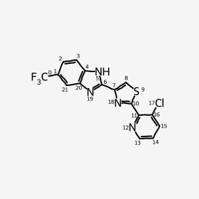 FC(F)(F)c1ccc2[nH]c(-c3csc(-c4ncccc4Cl)n3)nc2c1